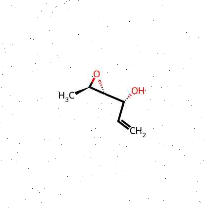 C=C[C@@H](O)[C@H]1O[C@@H]1C